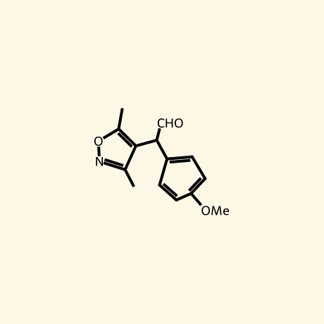 COc1ccc(C(C=O)c2c(C)noc2C)cc1